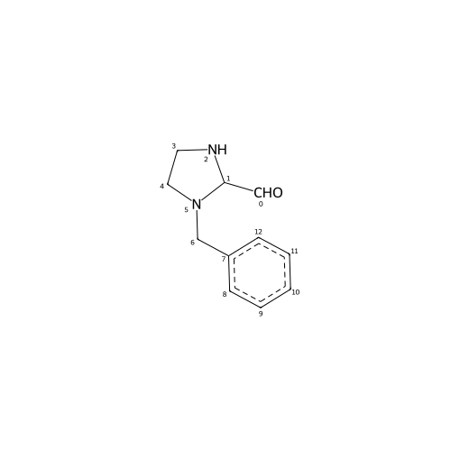 O=CC1NCCN1Cc1ccccc1